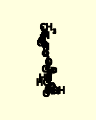 CCc1ccnc(N2CCOC3(CCN(Cc4cccc(CCOCCC(=O)N(CCNC[C@H](O)c5ccc(O)c6[nH]c(=O)ccc56)C5CCCC5)c4)CC3)C2)c1